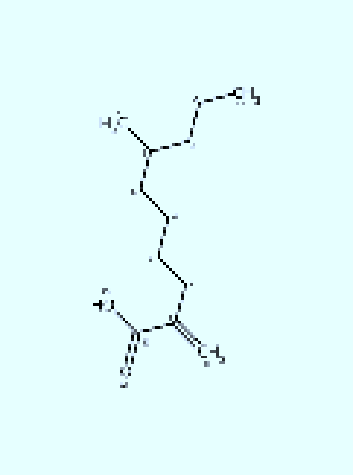 C=C(CCCCC(C)CCC)C(=O)O